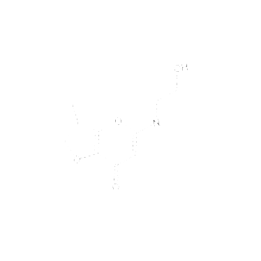 Cc1coc2c(=O)cc(N(C)CCO)oc12